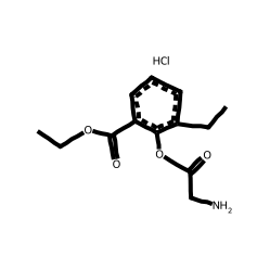 CCOC(=O)c1cccc(CC)c1OC(=O)CN.Cl